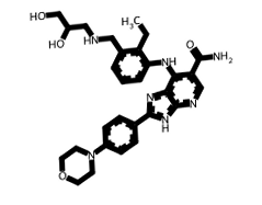 CCc1c(CNCC(O)CO)cccc1Nc1c(C(N)=O)cnc2[nH]c(-c3ccc(N4CCOCC4)cc3)nc12